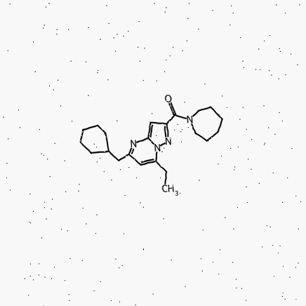 CCc1cc(CC2CCCCC2)nc2cc(C(=O)N3CCCCCC3)nn12